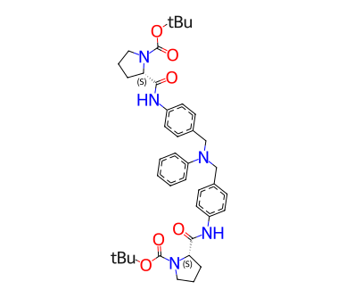 CC(C)(C)OC(=O)N1CCC[C@H]1C(=O)Nc1ccc(CN(Cc2ccc(NC(=O)[C@@H]3CCCN3C(=O)OC(C)(C)C)cc2)c2ccccc2)cc1